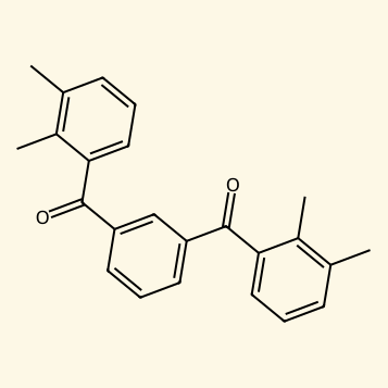 Cc1cccc(C(=O)c2cccc(C(=O)c3cccc(C)c3C)c2)c1C